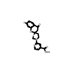 CNC(=O)c1ccnc(N2CCC3(CC2)CC(=O)c2ccc(F)cc2O3)c1